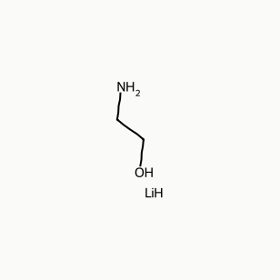 NCCO.[LiH]